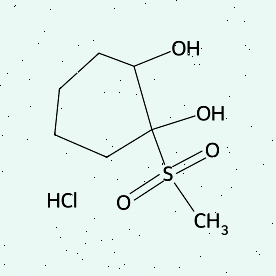 CS(=O)(=O)C1(O)CCCCC1O.Cl